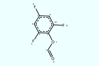 O=COc1c(F)cc(F)cc1F